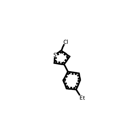 CCc1ccc(-c2csc(Cl)c2)cc1